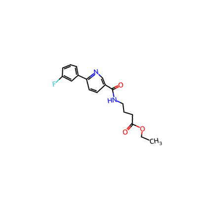 CCOC(=O)CCCNC(=O)c1ccc(-c2cccc(F)c2)nc1